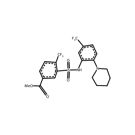 COC(=O)c1ccc(C(F)(F)F)c(S(=O)(=O)Nc2cc(C(F)(F)F)ccc2N2CCCCC2)c1